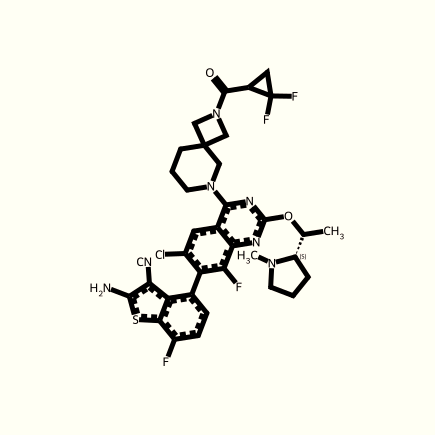 CC(Oc1nc(N2CCCC3(CN(C(=O)C4CC4(F)F)C3)C2)c2cc(Cl)c(-c3ccc(F)c4sc(N)c(C#N)c34)c(F)c2n1)[C@@H]1CCCN1C